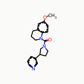 COc1ccc2c(c1)CCCN2C(=O)N1CCC(c2cccnc2)C1